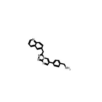 NCc1ccc(-c2cnc3nnc(Cc4ccc5ncccc5c4)n3c2)cc1